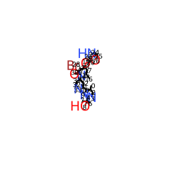 Cc1cnc(C(C)(C)O)nc1-c1cc(-n2c(C)cc(OCC3(C)NC=CO3)c(Br)c2=O)ccn1